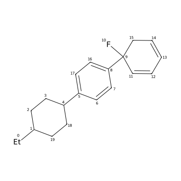 CCC1CCC(c2ccc(C3(F)C=CC=CC3)cc2)CC1